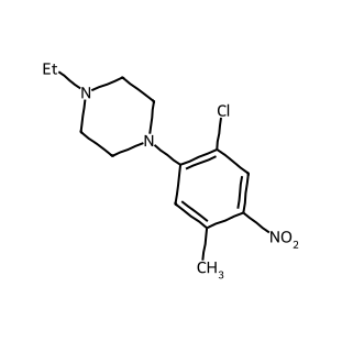 CCN1CCN(c2cc(C)c([N+](=O)[O-])cc2Cl)CC1